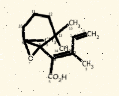 C=CC(C)=C(C(=O)O)C12OC1(C)CCCC2(C)C